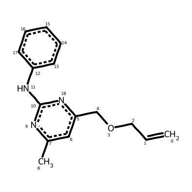 C=CCOCc1cc(C)nc(Nc2ccccc2)n1